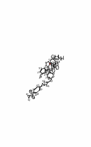 COC(=O)N[C@H]1CCC[C@@H]1[C@](CN1CCC(C)(O)CC1)(c1cccc(F)c1)C1CCN(CC2CN(c3ccc(S(=O)(=O)C4CC4)cc3)C2)CC1